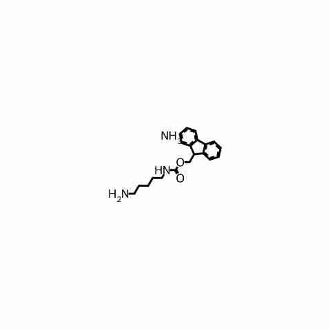 N.NCCCCCNC(=O)OCC1c2ccccc2-c2ccccc21